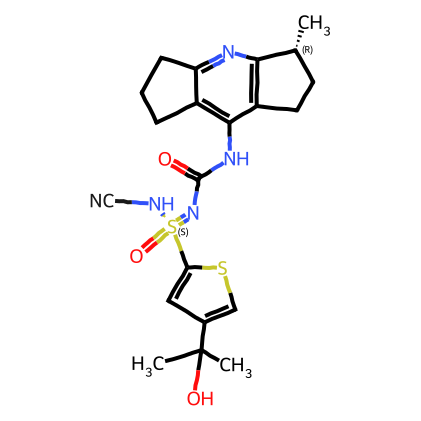 C[C@@H]1CCc2c1nc1c(c2NC(=O)N=[S@@](=O)(NC#N)c2cc(C(C)(C)O)cs2)CCC1